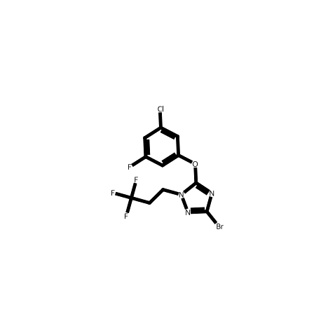 Fc1cc(Cl)cc(Oc2nc(Br)nn2CCC(F)(F)F)c1